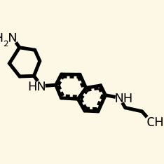 CCCNc1ccc2cc(NC3CCC(N)CC3)ccc2c1